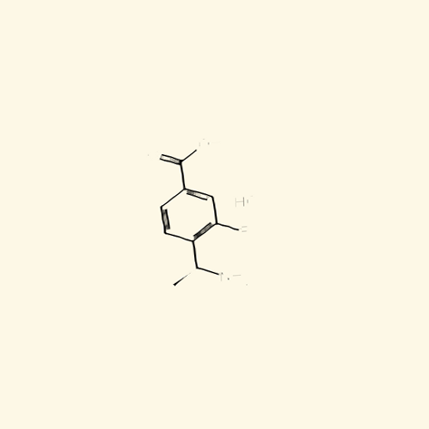 C[C@H](N)c1ccc(C(=O)O)cc1F.Cl